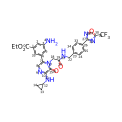 CCOC(=O)c1cc(N)cc(-c2cnc(NC3CC3)c(=O)n2CC(=O)NCc2ccc(-c3noc(C(F)(F)F)n3)cc2)c1